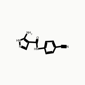 N#Cc1ccc(NC(=O)c2cn[nH]c2N)cc1